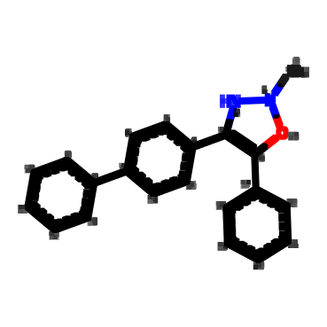 CC(C)(C)N1NC(c2ccc(-c3ccccc3)cc2)=C(c2ccccc2)O1